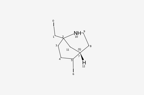 ICC12CCC(I)[C@@H](CCN1)C2